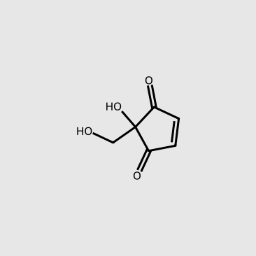 O=C1C=CC(=O)C1(O)CO